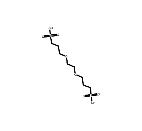 O=S(=O)(O)CCCOCCOCCCS(=O)(=O)O